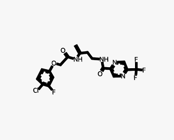 C=C(CCNC(=O)c1cnc(C(F)(F)F)cn1)NC(=O)COc1ccc(Cl)c(F)c1